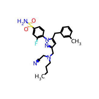 CCCCN(CC#N)Cc1cc(Cc2cccc(C)c2)n(-c2ccc(S(N)(=O)=O)cc2F)n1